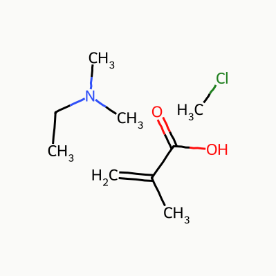 C=C(C)C(=O)O.CCN(C)C.CCl